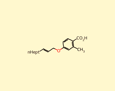 CCCCCCCC=CCOc1ccc(C(=O)O)c(C)c1